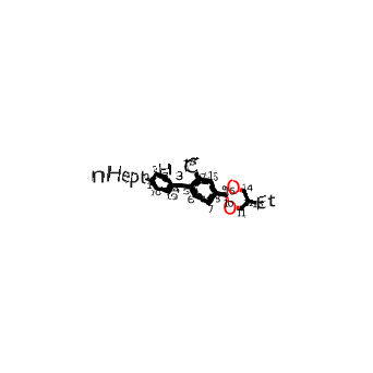 CCCCCCCc1ccc(-c2ccc(C3OCC(CC)CO3)cc2C)cc1